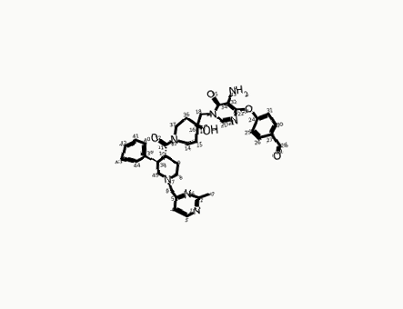 Cc1nccc(CN2CC[C@@H](C(=O)N3CCC(O)(Cn4cnc(Oc5ccc(C=O)cc5)c(N)c4=O)CC3)[C@H](c3ccccc3)C2)n1